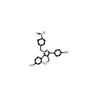 CCc1c(-c2ccc(O)cc2)nn(Cc2ccc([N+](=O)[O-])cc2)c1-c1ccc(O)cc1